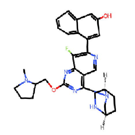 CN1CCCC1COc1nc(N2C[C@H]3CC[C@@H]2CN3)c2cnc(-c3cc(O)cc4ccccc34)c(F)c2n1